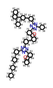 c1ccc(-c2ccc(-c3ccc(-c4cccc(-c5nc(-c6cccc(-c7cccc8oc9c(-c%10nc(-c%11ccccc%11)nc(-c%11cccc(-c%12ccc(-c%13c(-c%14ccccc%14)ccc%14ccccc%13%14)cc%12)c%11)n%10)cccc9c78)c6)nc(-c6cccc7c6oc6ccccc67)n5)c4)cc3)cc2)cc1